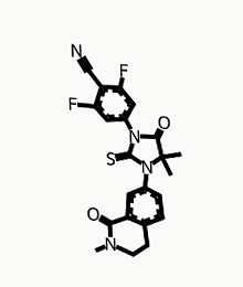 CN1CCc2ccc(N3C(=S)N(c4cc(F)c(C#N)c(F)c4)C(=O)C3(C)C)cc2C1=O